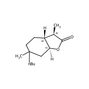 CCCCC1(C)CC[C@H]2[C@H](C1)OC(=O)[C@@H]2C